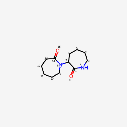 O=C1NCCCCC1N1CCCC[CH]C1=O